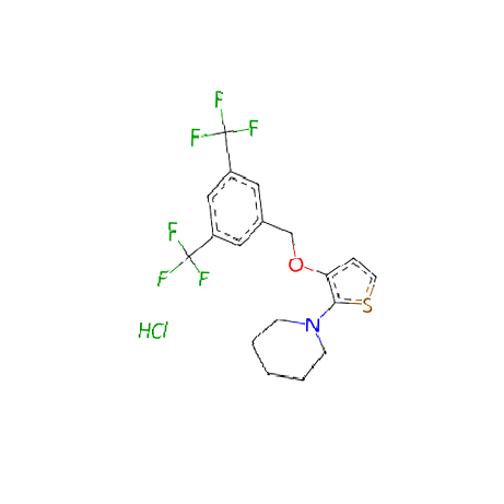 Cl.FC(F)(F)c1cc(COc2ccsc2N2CCCCC2)cc(C(F)(F)F)c1